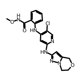 CONC(=O)c1ccccc1Nc1cc(Nc2cc3n(n2)CCOC3)ncc1Cl